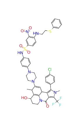 CC1C(N2CCN(c3ccc(NS(=O)(=O)c4ccc(NCCSc5ccccc5)c([N+](=O)[O-])c4)cc3)CC2)=CC2C3=C1C(O)CCN3C(=O)c1c2c(-c2ccc(Cl)cc2)n(C)c1C(F)(F)F